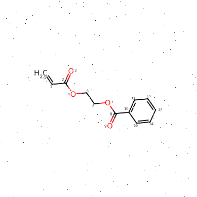 C=CC(=O)OCCOC(=O)c1ccccc1